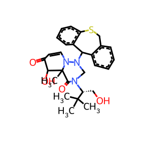 CC(C)(C)[C@@H](CO)N1CN(C2c3ccccc3CSc3ccccc32)N2C=CC(=O)C(O)C2(C)C1=O